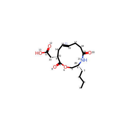 CCCC[C@@H]1COC(=O)[C@H](CC(=O)O)C/C=C/CCC(=O)N1